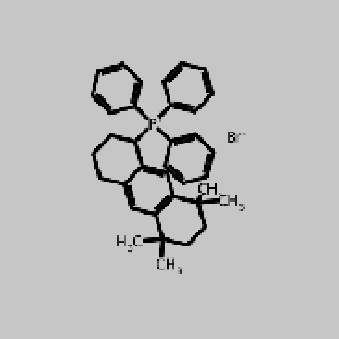 CC1(C)CCC(C)(C)c2cc3c(cc21)CCCC3[P+](c1ccccc1)(c1ccccc1)c1ccccc1.[Br-]